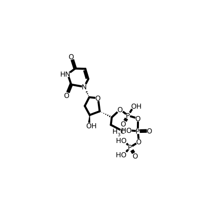 CCC(OP(=O)(O)OP(=O)(O)OP(=O)(O)O)[C@H]1O[C@@H](n2ccc(=O)[nH]c2=O)C[C@@H]1O